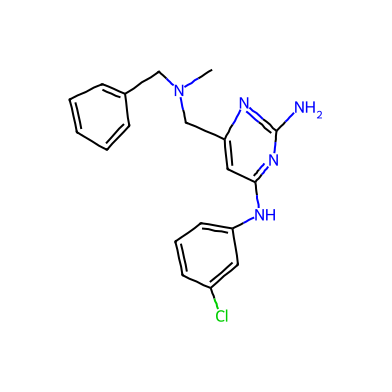 CN(Cc1ccccc1)Cc1cc(Nc2cccc(Cl)c2)nc(N)n1